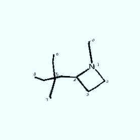 CN1CCC1C(C)(C)C